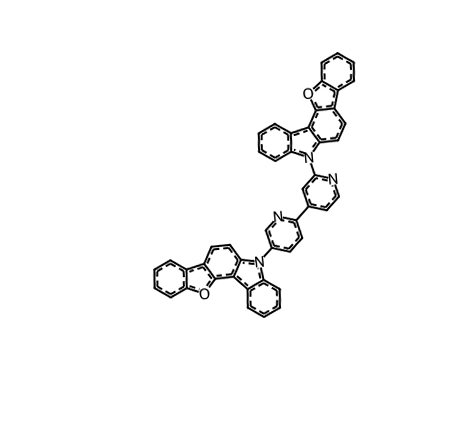 c1ccc2c(c1)oc1c2ccc2c1c1ccccc1n2-c1ccc(-c2ccnc(-n3c4ccccc4c4c5oc6ccccc6c5ccc43)c2)nc1